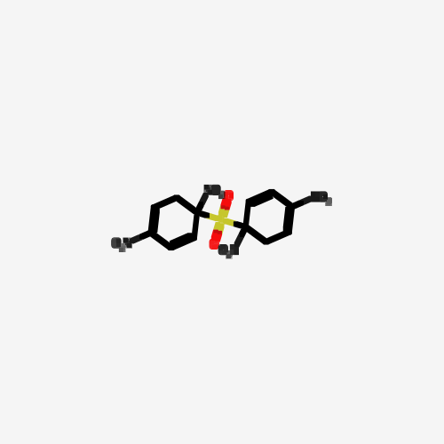 O=[N+]([O-])C1=CCC([N+](=O)[O-])(S(=O)(=O)C2([N+](=O)[O-])C=CC([N+](=O)[O-])=CC2)C=C1